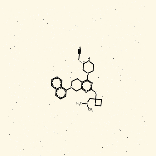 CN(C)CC1(Oc2nc3c(c(N4CCN[C@@H](CC#N)C4)n2)CCN(c2cccc4ccccc24)C3)CCC1